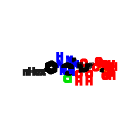 CCCCCCc1ccc(Nc2nc(Cl)nc3c2ncn3[C@@H]2O[C@H](COP(=O)(O)CP(=O)(O)O)C(O)[C@@H]2O)cc1